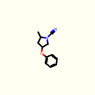 CC1CC(Oc2ccccc2)CN1C#N